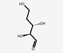 O=C[C@@H](O)[C@@H](O)CCO